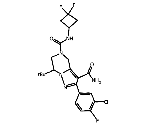 CC(C)(C)C1CN(C(=O)NC2CC(F)(F)C2)Cc2c(C(N)=O)c(-c3ccc(F)c(Cl)c3)nn21